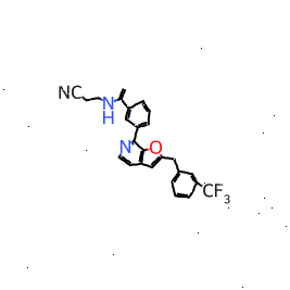 C=C(NCCC#N)c1cccc(-c2nccc3cc(Cc4cccc(C(F)(F)F)c4)oc23)c1